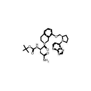 CC(C)(C)OC(=O)N[C@H](CC(N)=O)C(=O)N1CCc2cccc(OC[C@H]3CCCN3c3ccnc4ncnn34)c2C1